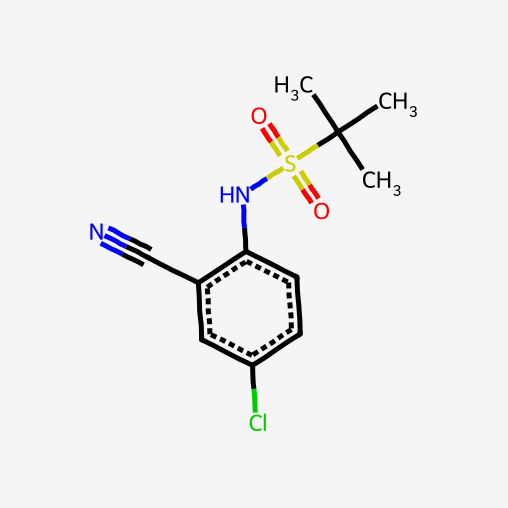 CC(C)(C)S(=O)(=O)Nc1ccc(Cl)cc1C#N